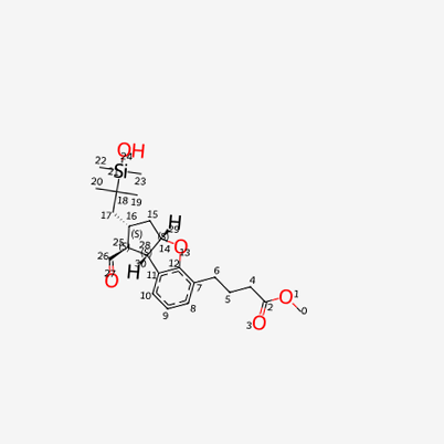 COC(=O)CCCc1cccc2c1O[C@H]1C[C@@H](CC(C)(C)[Si](C)(C)O)[C@H](C=O)[C@@H]21